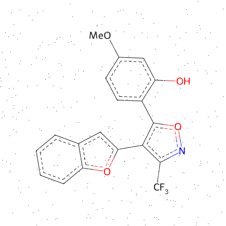 COc1ccc(-c2onc(C(F)(F)F)c2-c2cc3ccccc3o2)c(O)c1